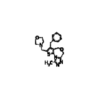 Cc1nnc2n1-c1sc(CN3CCOCC3)c(Cc3ccccc3)c1COC2